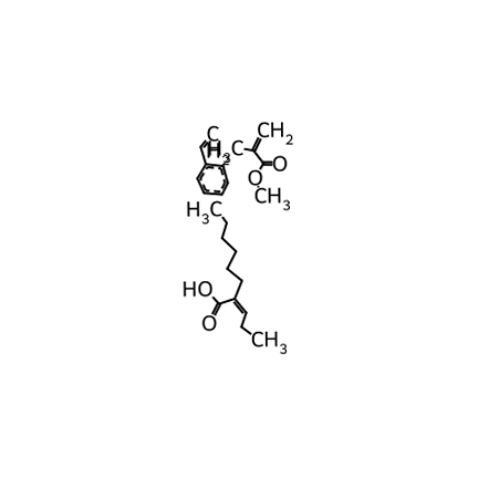 C=C(C)C(=O)OC.C=Cc1ccccc1.CCC=C(CCCCCC)C(=O)O